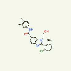 Cc1ccc(NC(=O)c2ccc3nc(-c4c(Cl)cccc4[N+](=O)[O-])n(CCO)c3c2)cc1C